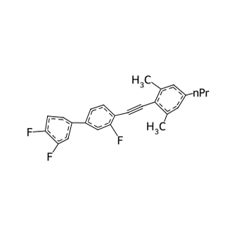 CCCc1cc(C)c(C#Cc2ccc(-c3ccc(F)c(F)c3)cc2F)c(C)c1